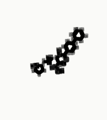 O=C(N[C@@H](CNC[C@@H]1CCCN1)C(=O)NO)c1ccc(-c2ccccc2)cc1